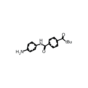 CC(C)(C)C(=O)c1ccc(C(=O)Nc2ccc(N)cc2)cc1